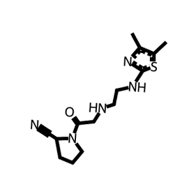 Cc1nc(NCCNCC(=O)N2CCCC2C#N)sc1C